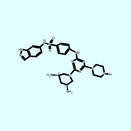 CC(=O)N1CCN(c2nc(Nc3ccc(S(=O)(=O)Nc4ccc5cn[nH]c5c4)cc3)nc(N3C[C@H](N)C[C@H](N)C3)n2)CC1